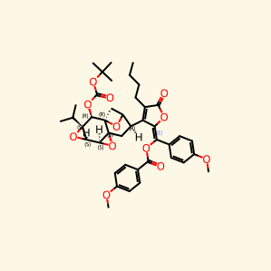 CCCCC1=C([C@H]2C[C@]34O[C@H]3[C@@H]3O[C@]3(C(C)C)[C@@H](OC(=O)OC(C)(C)C)[C@]43CC2O3)/C(=C(\OC(=O)c2ccc(OC)cc2)c2ccc(OC)cc2)OC1=O